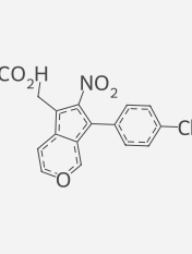 O=C(O)Cc1c2ccocc-2c(-c2ccc(Cl)cc2)c1[N+](=O)[O-]